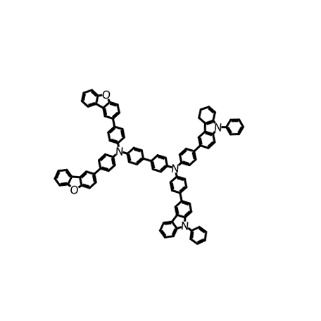 C1=Cc2c(c3cc(-c4ccc(N(c5ccc(-c6ccc(N(c7ccc(-c8ccc9oc%10ccccc%10c9c8)cc7)c7ccc(-c8ccc9oc%10ccccc%10c9c8)cc7)cc6)cc5)c5ccc(-c6ccc7c(c6)c6ccccc6n7-c6ccccc6)cc5)cc4)ccc3n2-c2ccccc2)CC1